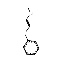 CCNC=CNc1ccccc1